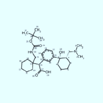 CN(C)C[C@@H]1CCCC[C@@]1(O)c1cccc(C(C(=O)O)C2(CNC(=O)OC(C)(C)C)CCCCC2)c1